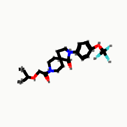 CC(C)OCC(=O)N1CCC2(CC1)CCN(c1ccc(OC(F)(F)F)cc1)C2=O